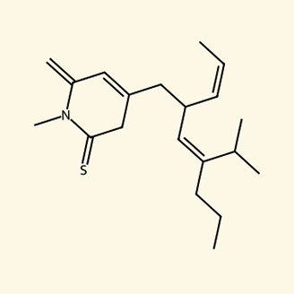 C=C1C=C(CC(/C=C\C)/C=C(/CCC)C(C)C)CC(=S)N1C